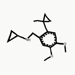 COc1cc(CNC2CC2)c(C2(C)CC2)cc1OC